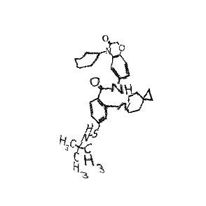 CC(C)(C)NSc1ccc(C(=O)Nc2ccc3c(c2)N(C2CCCC2)C(=O)CO3)c(N2CCC3(CC2)CC3)c1